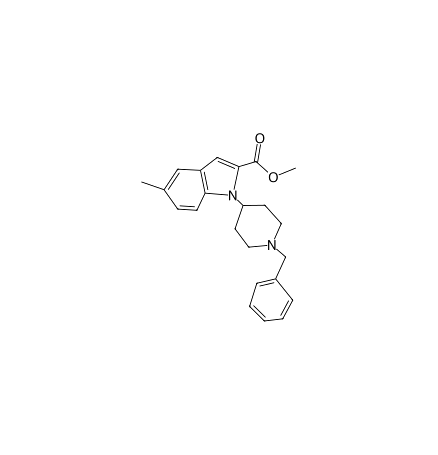 COC(=O)c1cc2cc(C)ccc2n1C1CCN(Cc2ccccc2)CC1